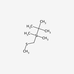 CSC[Si](C)(C)C(C)(C)C